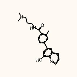 Cc1cc(-c2cc(O)c3ncccc3c2)ccc1C(=O)NCCCN(C)C